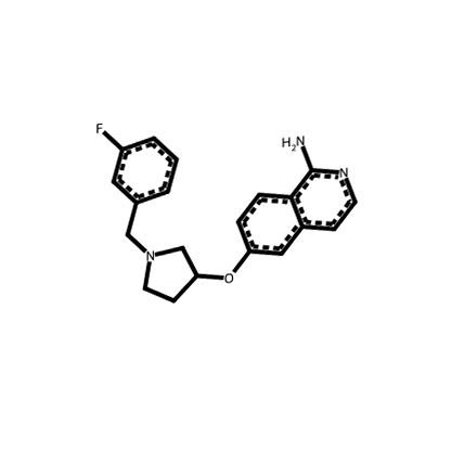 Nc1nccc2cc(OC3CCN(Cc4cccc(F)c4)C3)ccc12